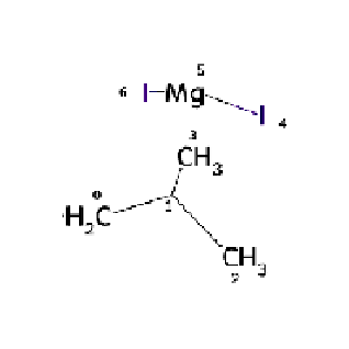 [CH2]C(C)C.[I][Mg][I]